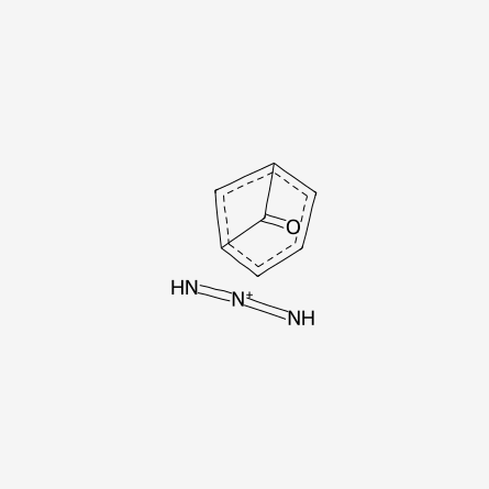 N=[N+]=N.O=C1c2cccc1c2